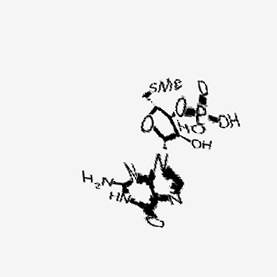 CSC[C@H]1O[C@@H](n2cnc3c(=O)[nH]c(N)nc32)[C@H](O)[C@@H]1OP(=O)(O)O